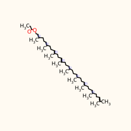 CCC(=O)OC/C=C(\C)CC/C=C(\C)CC/C=C(\C)CC/C=C(\C)CC/C=C(\C)CC/C=C(\C)CC/C=C(\C)CC/C=C(\C)CCC=C(C)C